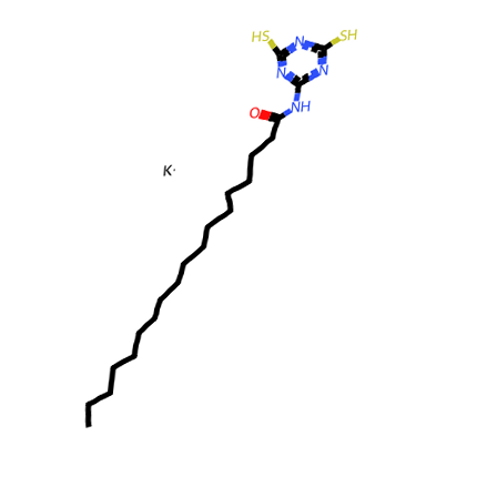 CCCCCCCCCCCCCCCCCC(=O)Nc1nc(S)nc(S)n1.[K]